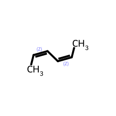 C/C=C\C=C/C